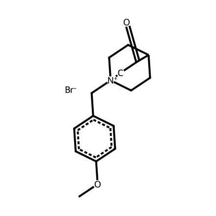 COc1ccc(C[N+]23CCC(CC2)C(=O)C3)cc1.[Br-]